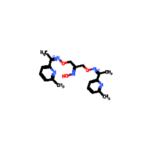 C/C(=N/OCC(CO/N=C(/C)c1cccc(C)n1)=NO)c1cccc(C)n1